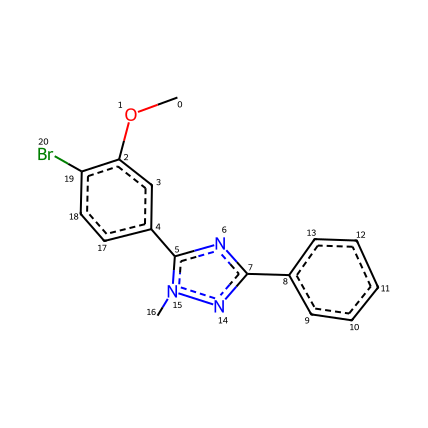 COc1cc(-c2nc(-c3ccccc3)nn2C)ccc1Br